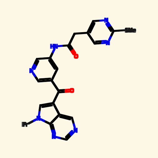 CSc1ncc(CC(=O)Nc2cncc(C(=O)c3cn(C(C)C)c4ncncc34)c2)cn1